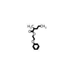 CCCC(C)C(=O)OCCOc1ccccc1